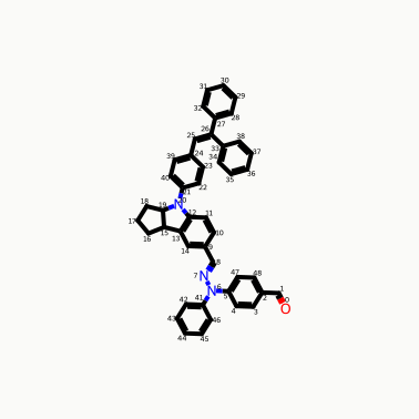 O=Cc1ccc(N(N=Cc2ccc3c(c2)C2CCCC2N3c2ccc(C=C(c3ccccc3)c3ccccc3)cc2)c2ccccc2)cc1